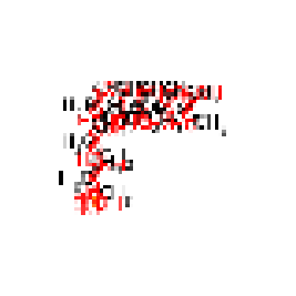 CC(O)COC(C)COC(C)CO.CC(O)COC(C)COC(C)CO.CC(O)COC(C)COC(C)CO.CC(O)COC(C)COC(C)CO.CC(O)COC(C)COC(C)CO.CC(O)COC(C)COC(C)CO.CC(O)COC(C)COC(C)CO.OP(O)O